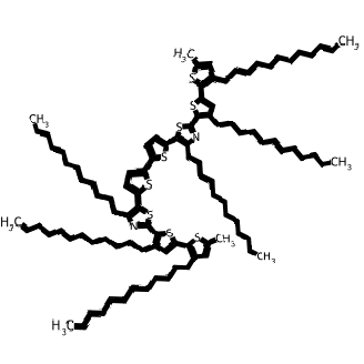 CCCCCCCCCCCCc1cc(C)sc1-c1cc(CCCCCCCCCCCC)c(-c2nc(CCCCCCCCCCCC)c(-c3ccc(-c4ccc(-c5sc(-c6sc(-c7sc(C)cc7CCCCCCCCCCCC)cc6CCCCCCCCCCCC)nc5CCCCCCCCCCCC)s4)s3)s2)s1